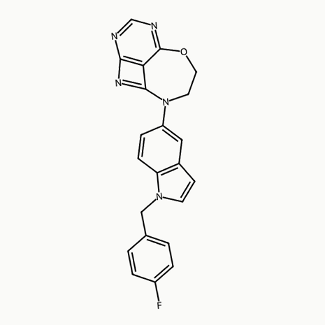 Fc1ccc(Cn2ccc3cc(N4CCOc5ncnc6c5C4=N6)ccc32)cc1